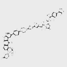 Cc1ncsc1-c1ccc([C@H](CO)NC(=O)[C@@H]2C[C@@H](O)CN2C(=O)[C@@H](c2cc(N3CC(N4CCN(c5ccc(-c6cnc7[nH]cc(C(=O)c8c(F)ccc(N(N9CC[C@@H](F)C9)[SH](=O)=O)c8F)c7c6)cc5)CC4)C3)no2)C(C)C)cc1